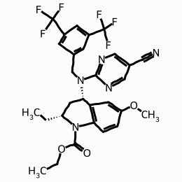 CCOC(=O)N1c2ccc(OC)cc2[C@@H](N(Cc2cc(C(F)(F)F)cc(C(F)(F)F)c2)c2ncc(C#N)cn2)C[C@H]1CC